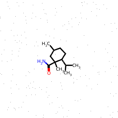 CC1CCC(C(C)C)C(C)(C(N)=O)C1